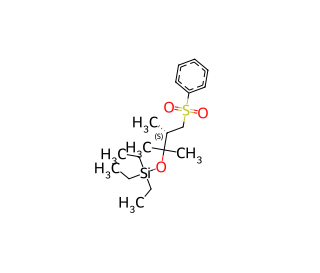 CC[Si](CC)(CC)OC(C)(C)[C@H](C)CS(=O)(=O)c1ccccc1